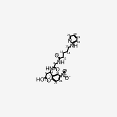 O=C(O)CC(NC(=O)CNC(=O)CCCCNc1ccccn1)c1cccc([N+](=O)[O-])c1